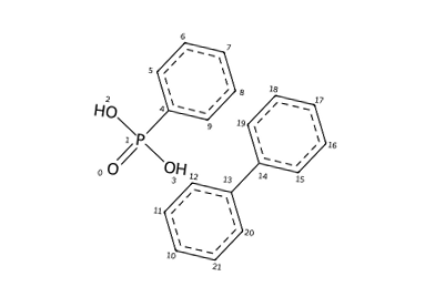 O=P(O)(O)c1ccccc1.c1ccc(-c2ccccc2)cc1